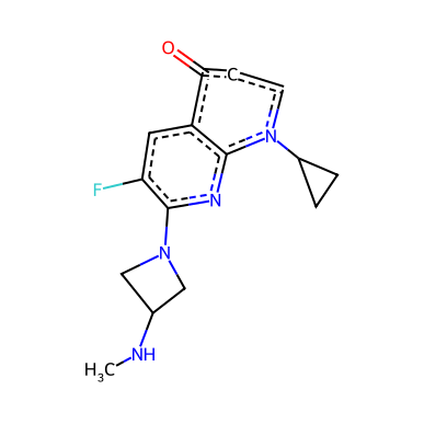 CNC1CN(c2nc3c(cc2F)c(=O)ccn3C2CC2)C1